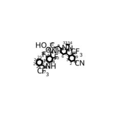 N#Cc1ccc(-c2ccc(CC(NC(=O)c3c(F)cc(N[C@H](c4ccccc4)C(F)(F)F)cc3F)C(=O)O)n3ccnc23)c(C(F)(F)F)c1